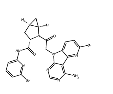 Nc1ncnc2c1c1nc(Br)ccc1n2CC(=O)N1[C@@H]2C[C@@H]2C[C@H]1C(=O)Nc1cccc(Br)n1